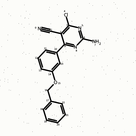 N#Cc1c(Cl)nc(N)nc1-c1cccc(OCc2ccccc2)c1